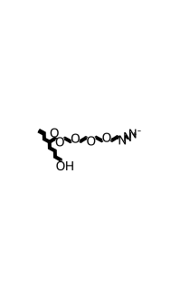 C=CCC(CCCCO)C(=O)OCCOCCOCCOCCN=[N+]=[N-]